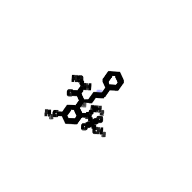 Cc1ccc(N(N)S(C)(=O)=O)c([C@H](C/C=C/c2ccccc2)C(=O)NO)c1